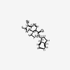 Cc1nn2c(C(C)C)c(C(=O)N[C@H]3CCc4ccccc43)cnc2c1Br